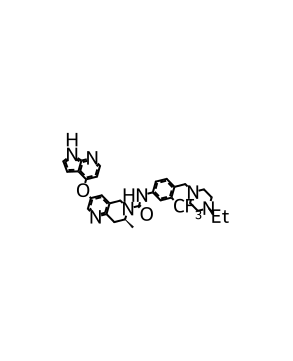 CCN1CCN(Cc2ccc(NC(=O)N3Cc4cc(Oc5ccnc6[nH]ccc56)cnc4C[C@@H]3C)cc2C(F)(F)F)CC1